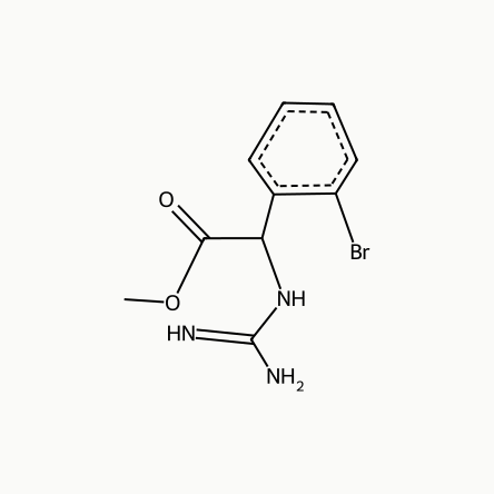 COC(=O)C(NC(=N)N)c1ccccc1Br